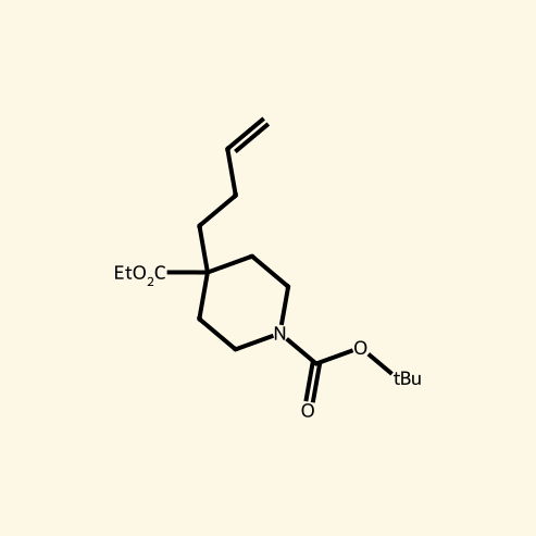 C=CCCC1(C(=O)OCC)CCN(C(=O)OC(C)(C)C)CC1